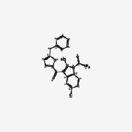 NC(=O)n1c(O)c(C(=O)c2ccc(Cc3ccccc3)o2)c2cc(Cl)ccc21